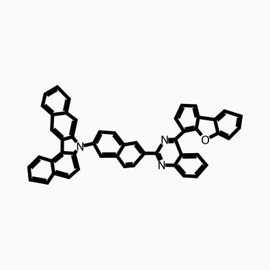 c1ccc2cc3c(cc2c1)c1c2ccccc2ccc1n3-c1ccc2cc(-c3nc(-c4cccc5c4oc4ccccc45)c4ccccc4n3)ccc2c1